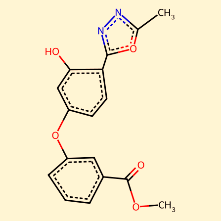 COC(=O)c1cccc(Oc2ccc(-c3nnc(C)o3)c(O)c2)c1